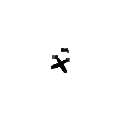 O=S(=O)(O)Cl.[SbH3]